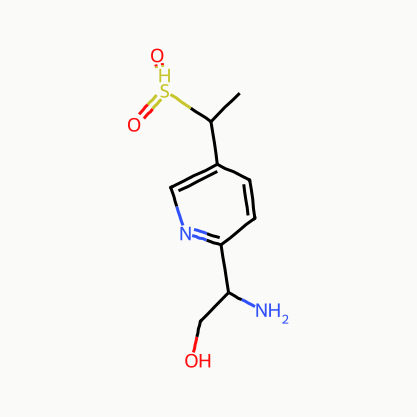 CC(c1ccc(C(N)CO)nc1)[SH](=O)=O